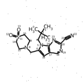 CC(C)(C)Cn1c(CN2CCS(=O)(=O)CC2)cc2cnc(C#N)nc21